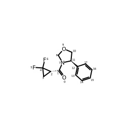 O=C([C@@H]1CC1(F)F)N1COC[C@H]1c1ccccc1